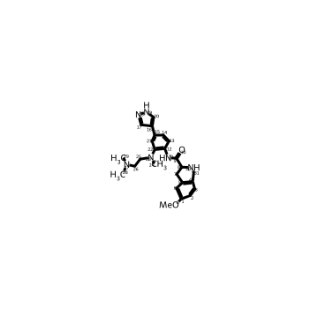 COc1ccc2c(c1)CC(C(=O)Nc1ccc(-c3cn[nH]c3)cc1N(C)CCN(C)C)NC2